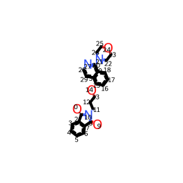 O=C1c2ccccc2C(=O)N1CCCOc1cccc2c(N3CCOCC3)nccc12